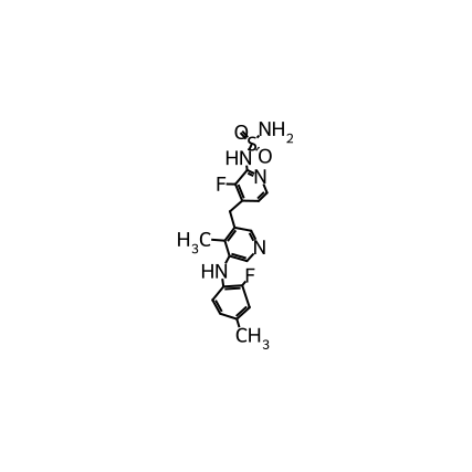 Cc1ccc(Nc2cncc(Cc3ccnc(NS(N)(=O)=O)c3F)c2C)c(F)c1